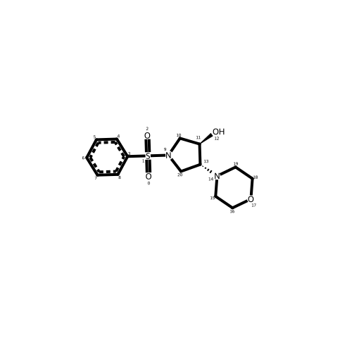 O=S(=O)(c1ccccc1)N1C[C@@H](O)[C@H](N2CCOCC2)C1